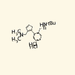 CN(C)CC1=C(c2ccccc2[CH2][Ti][NH]C(C)(C)C)CC=C1.Cl.Cl